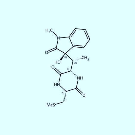 CSC[C@@H]1NC(=O)[C@H]([C@@H](C)[C@]2(O)C(=O)N(C)c3ccccc32)NC1=O